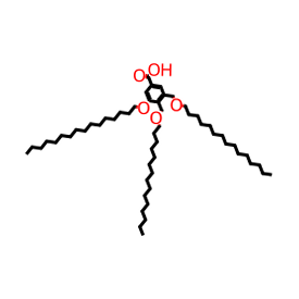 CCCCCCCCCCCCCCCCOc1cc(C(=O)O)cc(COCCCCCCCCCCCCCCC)c1COCCCCCCCCCCCCCCC